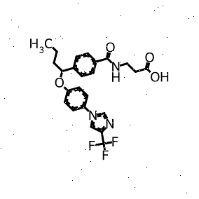 CCCC(Oc1ccc(-n2cnc(C(F)(F)F)c2)cc1)c1ccc(C(=O)NCCC(=O)O)cc1